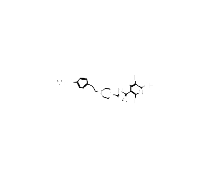 COc1ccc(CCN2CCN(c3nc(-c4c(F)nc(C)c(F)c4F)ns3)CC2)cc1